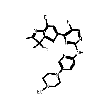 CCN1CCN(c2ccc(Nc3ncc(F)c(-c4cc(F)c5c(c4)C(C)(CC)C(C)=N5)n3)nc2)CC1